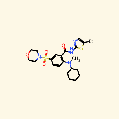 CCc1cnc(NC(=O)c2cc(S(=O)(=O)N3CCOCC3)ccc2N(C)C2CCCCC2)s1